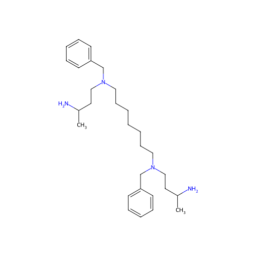 CC(N)CCN(CCCCCCCN(CCC(C)N)Cc1ccccc1)Cc1ccccc1